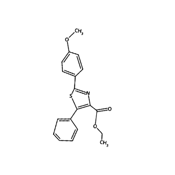 CCOC(=O)c1nc(-c2ccc(OC)cc2)sc1-c1ccccc1